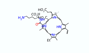 C=Cc1c(C)c2cc3nc(c(C(=O)O)c4[nH]c(cc5nc(cc1[nH]2)C(C)=C5CC)c(C)c4C(=O)NC(CCCCN)C(=O)O)[C@@H](CCC(=O)O)[C@@H]3C